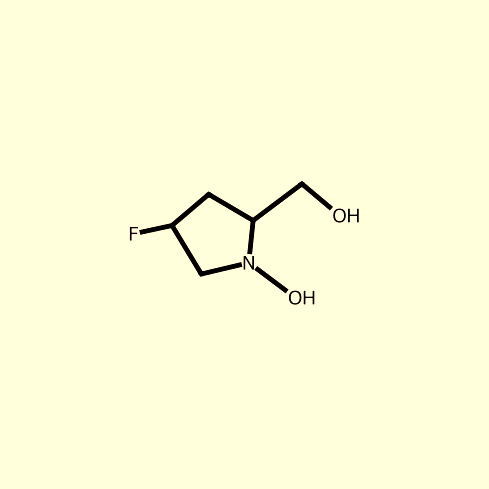 OCC1CC(F)CN1O